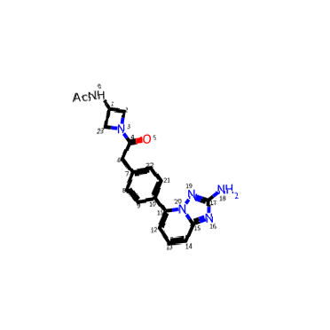 CC(=O)NC1CN(C(=O)Cc2ccc(-c3cccc4nc(N)nn34)cc2)C1